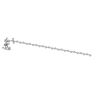 COCCOCCOCCOCCOCCOCCOCCOCCOCCOCCOCCOCCOCCOCCOCCOCCOCCOCCOCCOCCOCCOCCOCCOCCC(=O)NCCCCC(NC(=O)C(CN)NC(=O)CC([SiH2]C(C)C)C(=O)O)C(=O)C(C)C